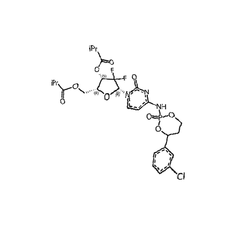 CC(C)C(=O)OC[C@H]1O[C@@H](n2ccc(NP3(=O)OCCC(c4cccc(Cl)c4)O3)nc2=O)C(F)(F)[C@H]1OC(=O)C(C)C